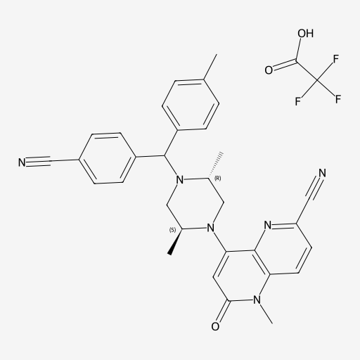 Cc1ccc(C(c2ccc(C#N)cc2)N2C[C@H](C)N(c3cc(=O)n(C)c4ccc(C#N)nc34)C[C@H]2C)cc1.O=C(O)C(F)(F)F